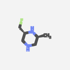 C[C@H]1CNC[C@H](CF)N1